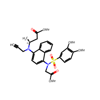 C#CCN(c1ccc(N(CC(=O)OC)S(=O)(=O)c2ccc(OC)c(OC)c2)c2ccccc12)[C@@H](C)CC(=O)OC